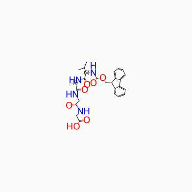 CC(C)[C@H](NC(=O)OCC1c2ccccc2-c2ccccc21)C(=O)N[C@@H](C)C(=O)NCC(=O)NCC(=O)O